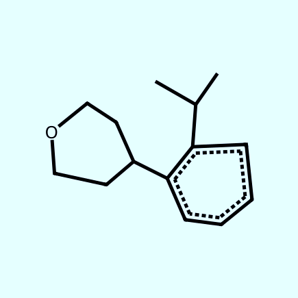 CC(C)c1ccccc1C1CCOCC1